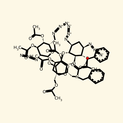 CC(=O)OC[C@H]1O[C@@H](O[C@@H]2[C@@H](OC(C)=O)[C@H](N=[N+]=[N-])C[C@H](N=[N+]=[N-])[C@H]2O[C@H]2O[C@H](CN(Cc3ccccc3)C(=O)OCc3ccccc3)CC[C@H]2OC(C)=O)[C@H](OC(C)=O)[C@@H]1O[C@H]1O[C@@H](CN=[N+]=[N-])[C@@H](OC(C)=O)[C@H](OC(C)=O)[C@H]1N=[N+]=[N-]